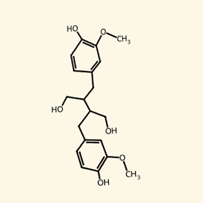 COc1cc(CC(CO)C(CO)Cc2ccc(O)c(OC)c2)ccc1O